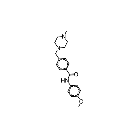 COc1ccc(NC(=O)c2ccc(CN3CCN(C)CC3)cc2)cc1